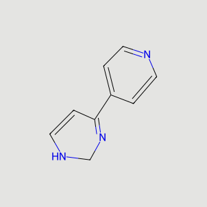 C1=CC(c2ccncc2)=NCN1